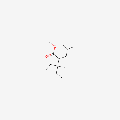 CCC(C)(CC)C(CC(C)C)C(=O)OC